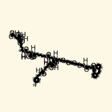 C[C@H](CCCOP(=O)(O)CC(CCC(=O)O)C(=O)O)NC(=O)CCC(NC(=O)CCCCCNC(=O)CCC(NC(=O)CCOCCOCCOCCOCCNC(=O)CCC(=O)N1Cc2ccccc2C#Cc2ccccc21)C(=O)NC(CCCCNC(=O)CCCc1ccc(I)cc1)C(=O)O)C(=O)O